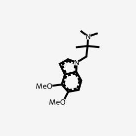 COc1ccc2c(ccn2CC(C)(C)N(C)C)c1OC